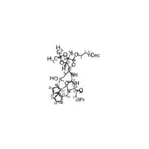 CCCCCCCCCCCCO[C@H]1O[C@H]([C@H](CC(=O)O)NC(=O)NC(C(=O)CC(C)C)N(Cc2cccs2)Cc2cccs2)[C@@H]2OC(C)(C)O[C@H]12